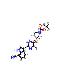 Cc1nc(-c2c[nH]c3c(C#N)cccc23)cnc1OC1CCN(C(=O)OC(C)(C)C)C1